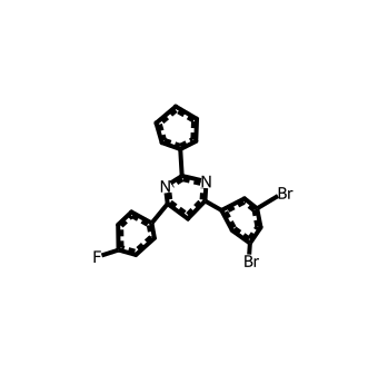 Fc1ccc(-c2cc(-c3cc(Br)cc(Br)c3)nc(-c3ccccc3)n2)cc1